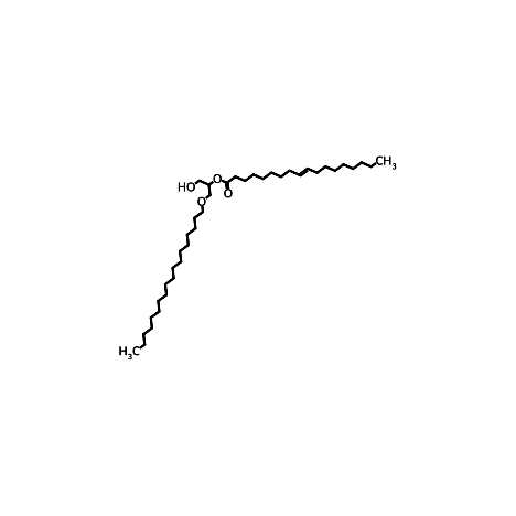 CCCCCCCCC=CCCCCCCCC(=O)OC(CO)COCCCCCCCCCCCCCCCCCC